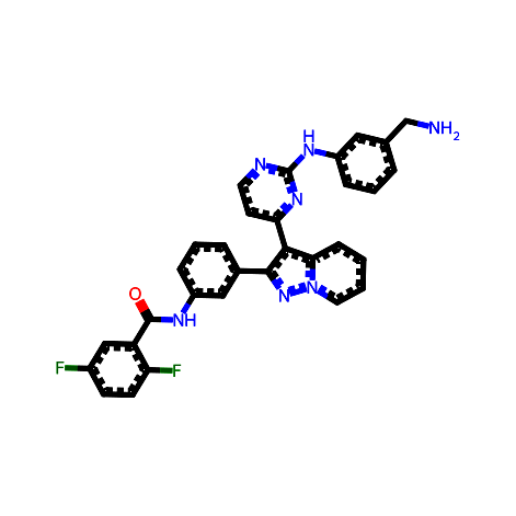 NCc1cccc(Nc2nccc(-c3c(-c4cccc(NC(=O)c5cc(F)ccc5F)c4)nn4ccccc34)n2)c1